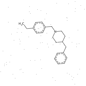 CCc1ccc(CN2CCC(Cc3ccccc3)CC2)cc1